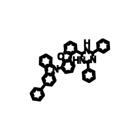 c1ccc(C2=NC(c3ccccc3)NC(c3cccc4oc5c(-n6c7ccccc7c7cc(-c8ccccc8)ccc76)cccc5c34)N2)cc1